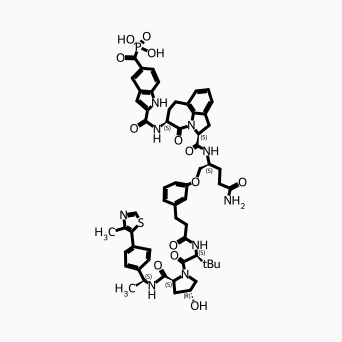 Cc1ncsc1-c1ccc([C@H](C)NC(=O)[C@@H]2C[C@@H](O)CN2C(=O)[C@@H](NC(=O)CCc2cccc(OC[C@H](CCC(N)=O)NC(=O)[C@@H]3Cc4cccc5c4N3C(=O)[C@@H](NC(=O)c3cc4cc(C(=O)P(=O)(O)O)ccc4[nH]3)CC5)c2)C(C)(C)C)cc1